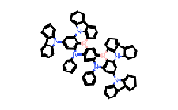 c1ccc(N2c3cc4c(cc3B3c5c2cc(-n2c6ccccc6c6ccccc62)cc5-n2c5ccccc5c5cccc3c52)B2c3c(cc(-n5c6ccccc6c6ccccc65)cc3-n3c5ccccc5c5cccc2c53)N4c2ccccc2)cc1